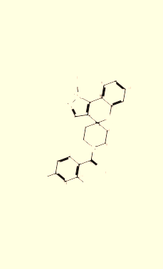 Cc1ccc(C(=O)N2CCC3(CC2)Oc2ccccc2-c2c3cnn2C)c(Cl)c1